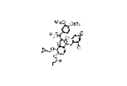 COc1ccc(N(C)C(=O)OC(Cc2c(Cl)c[n+]([O-])cc2Cl)c2ccc(OC(F)F)c(OCC3CC3)c2)cc1OC